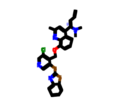 C=C/C=C(/c1cc(C)nc2c(OCc3c(Cl)cncc3Sc3nc4ccccc4s3)cccc12)N(C)C